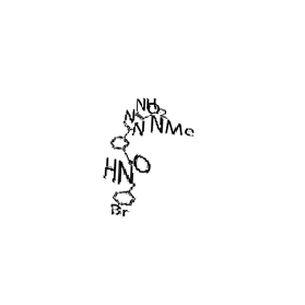 CNC(=O)c1nc(-c2cccc(C(=O)NCc3ccc(Br)cc3)c2)cnc1N